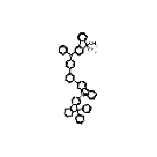 CC1(C)c2ccccc2-c2cc(N(c3ccccc3)c3ccc(-c4cccc(-c5ccc6c7ccccc7n(-c7ccc8c(c7)C(c7ccccc7)(c7ccccc7)c7ccccc7-8)c6c5)c4)cc3)ccc21